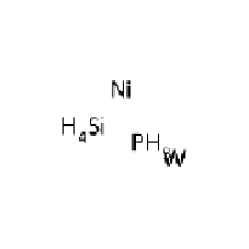 P.[Ni].[SiH4].[W]